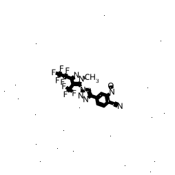 Cn1nc(C(F)(F)C(F)(F)F)c(C(F)(F)F)c1-n1cc(-c2ccc(C#N)c(N=O)c2)nn1